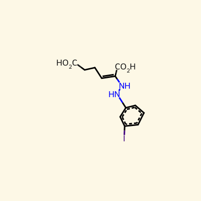 O=C(O)CCC=C(NNc1cccc(I)c1)C(=O)O